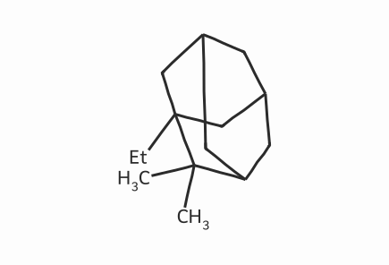 CCC12CC3CC(CC(C3)C1(C)C)C2